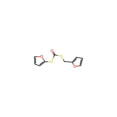 O=C(SCc1ccco1)Sc1ccco1